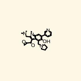 CN(C)Cc1c(C(=O)C2CO2)c2c(CN3CCCC3)c(O)c(-c3cccnc3)cc2n1C